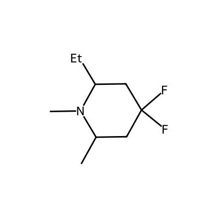 CCC1CC(F)(F)CC(C)N1C